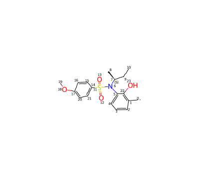 [CH2]c1cccc(N([C@@H](C)CC)S(=O)(=O)c2ccc(OC)cc2)c1O